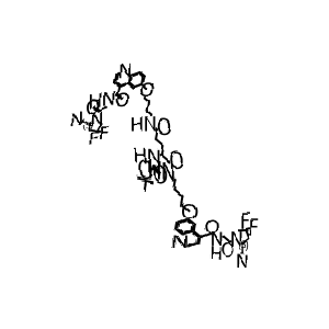 CC(C)(C)OC(=O)NC(CCC(=O)NCCCCOc1ccc2nccc(C(=O)NCC(=O)N3CC(F)(F)C[C@H]3C#N)c2c1)C(=O)NCCCCOc1ccc2nccc(C(=O)NCC(=O)N3CC(F)(F)C[C@H]3C#N)c2c1